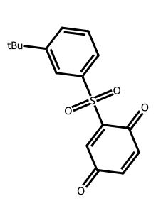 CC(C)(C)c1cccc(S(=O)(=O)C2=CC(=O)C=CC2=O)c1